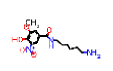 COc1cc(C(=O)NCCCCCCN)cc([N+](=O)[O-])c1O